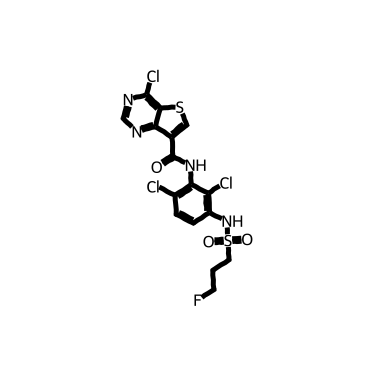 O=C(Nc1c(Cl)ccc(NS(=O)(=O)CCCF)c1Cl)c1csc2c(Cl)ncnc12